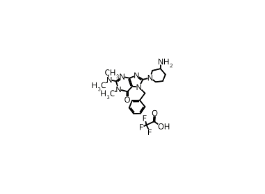 CN(C)c1nc2nc(N3CCCC(N)C3)n(Cc3ccccc3)c2c(=O)n1C.O=C(O)C(F)(F)F